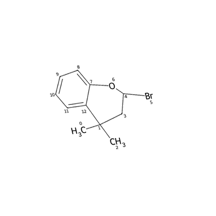 CC1(C)CC(Br)Oc2ccccc21